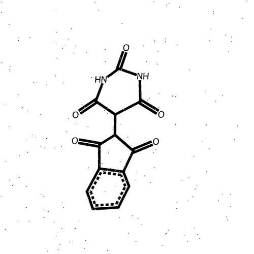 O=C1NC(=O)C(C2C(=O)c3ccccc3C2=O)C(=O)N1